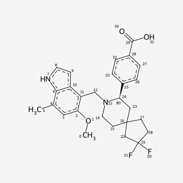 COc1cc(C)c2[nH]ccc2c1CN1CCC2(CCC(F)(F)C2)C[C@@H]1c1ccc(C(=O)O)cc1